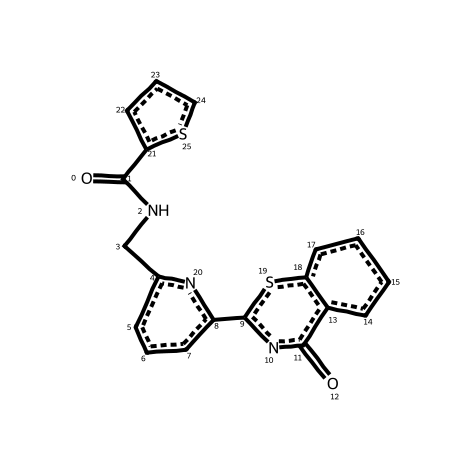 O=C(NCc1cccc(-c2nc(=O)c3ccccc3s2)n1)c1cccs1